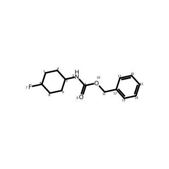 O=C(NC1CCC(F)CC1)OCc1ccccc1